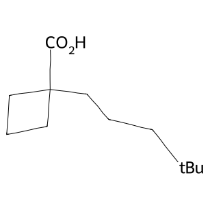 CC(C)(C)CCCC1(C(=O)O)CCC1